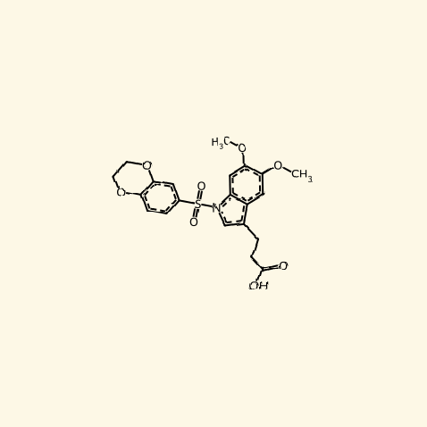 COc1cc2c(CCC(=O)O)cn(S(=O)(=O)c3ccc4c(c3)OCCO4)c2cc1OC